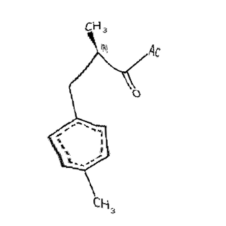 CC(=O)C(=O)[C@H](C)Cc1ccc(C)cc1